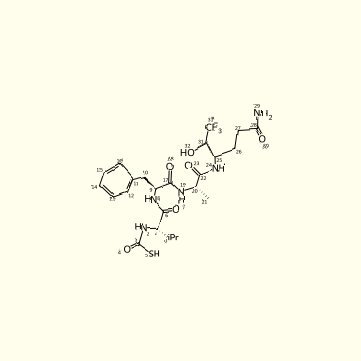 CC(C)[C@H](NC(=O)S)C(=O)N[C@@H](Cc1ccccc1)C(=O)N[C@@H](C)C(=O)NC(CCC(N)=O)C(O)C(F)(F)F